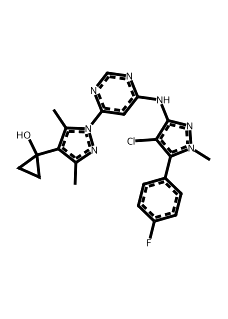 Cc1nn(-c2cc(Nc3nn(C)c(-c4ccc(F)cc4)c3Cl)ncn2)c(C)c1C1(O)CC1